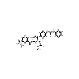 CC(CO)Nc1nc(Nc2cccc(S(C)(=N)=O)c2)ncc1-c1ccc(NC(=O)Nc2ccccc2)cc1